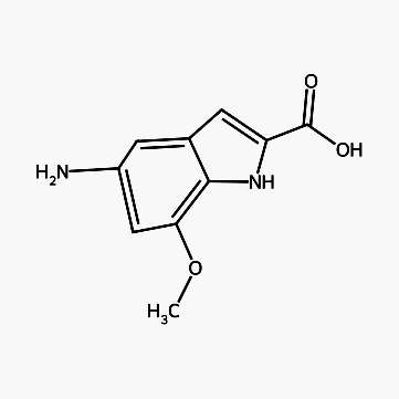 COc1cc(N)cc2cc(C(=O)O)[nH]c12